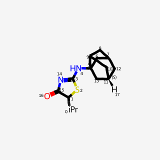 CC(C)C1SC(NC23CC4CC2C[C@H](C4)C3)=NC1=O